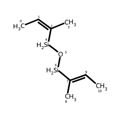 CC=C(C)[SiH2]O[SiH2]C(C)=CC